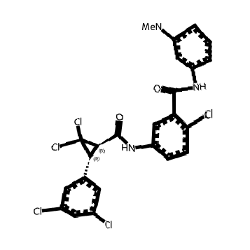 CNc1cccc(NC(=O)c2cc(NC(=O)[C@H]3[C@H](c4cc(Cl)cc(Cl)c4)C3(Cl)Cl)ccc2Cl)c1